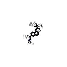 C/C=C/C(C)c1ccc2c3c(ccc2c1)OCC(C(C)(CC)CC)=C3